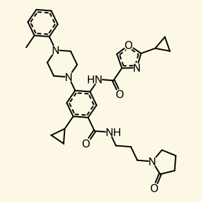 Cc1ccccc1N1CCN(c2cc(C3CC3)c(C(=O)NCCCN3CCCC3=O)cc2NC(=O)c2coc(C3CC3)n2)CC1